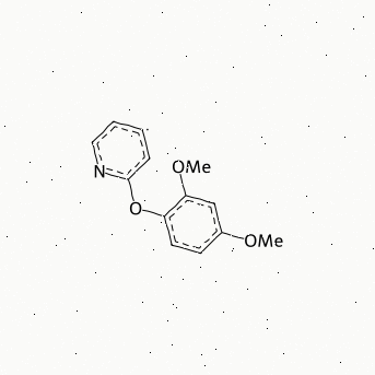 COc1ccc(Oc2c[c]ccn2)c(OC)c1